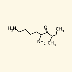 CCC(C)C(=O)C(N)CCCCN